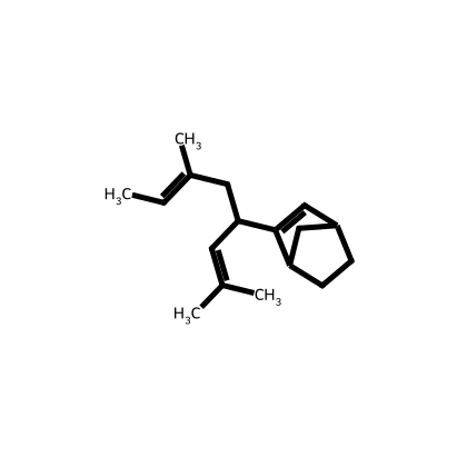 CC=C(C)CC(C=C(C)C)C1=CC2CCC1C2